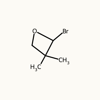 CC1(C)COC1Br